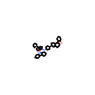 c1ccc(-c2ccc(N(c3ccc(-c4ccc5c(ccc6oc7ccccc7c65)c4)cc3)c3cccc4c5ccccc5n(-c5ccccc5)c34)cc2)cc1